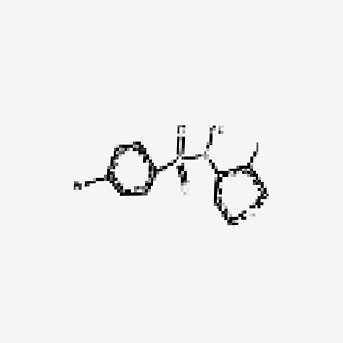 CC(=O)N(c1ccccc1I)S(=O)(=O)c1ccc(Br)cc1